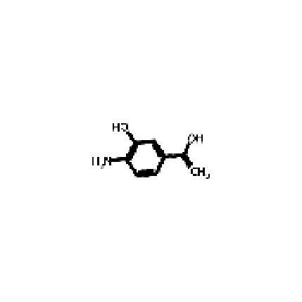 C=C(O)c1ccc(N)c(O)c1